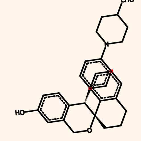 O=CC1CCN(c2ccc([C@H]3c4ccc(O)cc4CO[C@]34CCCc3ccccc34)cc2)CC1